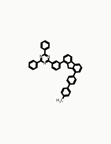 Cc1ccc(-c2ccc(-c3cccc4c3Cc3c(-c5cccc(-c6nc(-c7ccccc7)nc(-c7ccccc7)n6)c5)cccc3-4)cc2)cc1